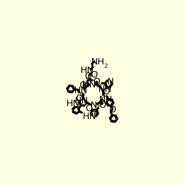 Cc1cccc2[nH]cc(C[C@H]3NC(=O)[C@H](CCc4ccccc4)NC(=O)[C@@H]4C[C@@H](OC(=O)NCCN)CN4C(=O)[C@H](Cc4cccnc4)NC(=O)[C@H](Cc4ccc(OCc5ccccc5)cc4)NC(=O)[C@H](CC4CCNCC4)NC3=O)c12